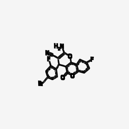 N#CC1=C(N)Oc2c(c(=O)oc3ccc(F)cc23)C1c1ccc(Br)cc1F